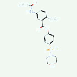 CCCCC(=O)Nc1ccc(OC(C)=O)c(C(=O)Oc2ccc(P(=S)(S)N3CCOCC3)cc2)c1